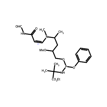 CCOC(=O)C(C)(C)NP(OCC(CC(C)N(C)/C=C\C(=O)NC=O)OC)Oc1ccccc1